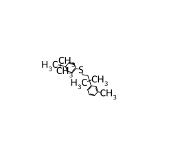 Cc1cccc(C(C)(C)CCSc2ccc(C(C)(C)C)cc2)c1